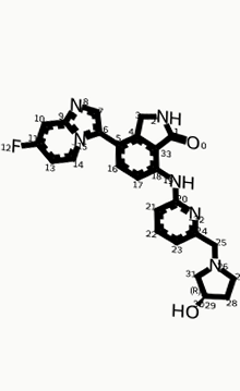 O=C1NCc2c(-c3cnc4cc(F)ccn34)ccc(Nc3cccc(CN4CC[C@@H](O)C4)n3)c21